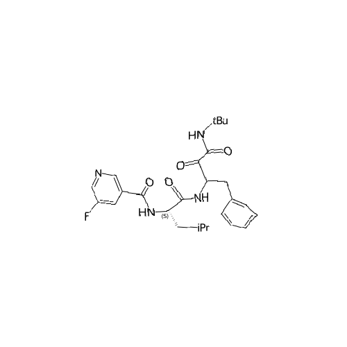 CC(C)C[C@H](NC(=O)c1cncc(F)c1)C(=O)NC(Cc1ccccc1)C(=O)C(=O)NC(C)(C)C